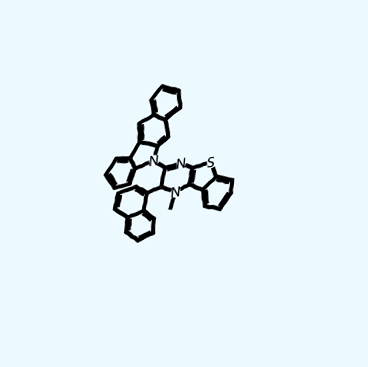 CN1c2c(sc3ccccc23)N=C(n2c3ccccc3c3cc4ccccc4cc32)C1c1cccc2ccccc12